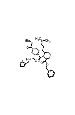 CN(C)CCC[C@H]1CCCN(C(=O)OCc2ccccc2)[C@H]1C(=O)N1CCN(C(=O)OC(C)(C)C)C[C@H]1C(=O)NCc1cccs1